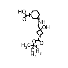 CC(C)(C)OC(=O)N1CC(O)(CN[C@@H]2CCCN(C(=O)O)C2)C1